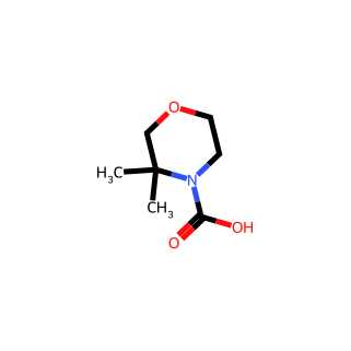 CC1(C)COCCN1C(=O)O